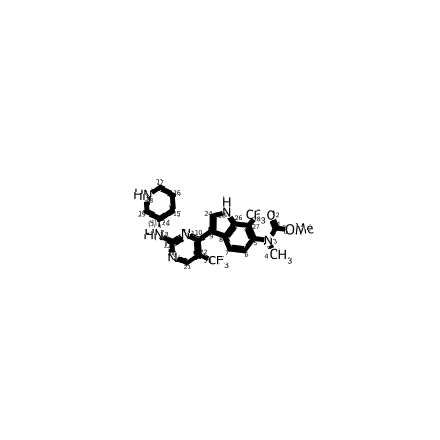 COC(=O)N(C)c1ccc2c(-c3nc(N[C@H]4CCCNC4)ncc3C(F)(F)F)c[nH]c2c1C(F)(F)F